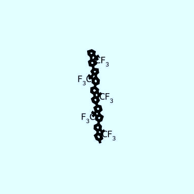 Cc1ccc2c(c1)C(C)(C(F)(F)F)c1cc(-c3ccc4c(c3)C(C)(C(F)(F)F)c3cc(-c5ccc6c(c5)C(C)(C(F)(F)F)c5cc(-c7ccc8c(c7)C(C)(C(F)(F)F)c7cc(-c9ccc%10c(c9)C(C)(C(F)(F)F)c9ccccc9-%10)ccc7-8)ccc5-6)ccc3-4)ccc1-2